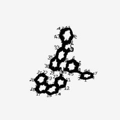 c1ccc(-c2cccc(N(c3ccc4ccc5ccc6ccccc6c5c4c3)c3cccc4cc5c(cc34)sc3ccccc35)c2)cc1